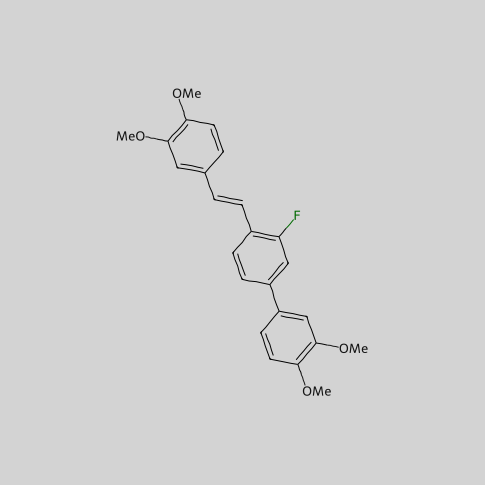 COc1ccc(/C=C/c2ccc(-c3ccc(OC)c(OC)c3)cc2F)cc1OC